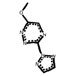 COc1cnc(-n2nccn2)nn1